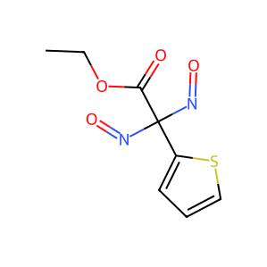 CCOC(=O)C(N=O)(N=O)c1cccs1